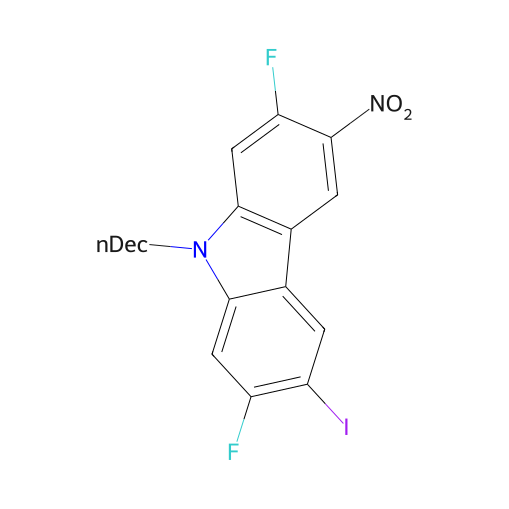 CCCCCCCCCCn1c2cc(F)c(I)cc2c2cc([N+](=O)[O-])c(F)cc21